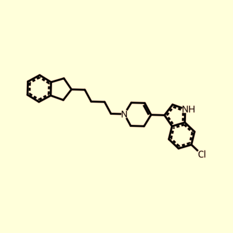 Clc1ccc2c(C3=CCN(CCCCC4Cc5ccccc5C4)CC3)c[nH]c2c1